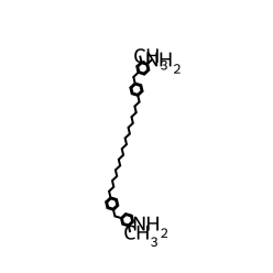 Cc1cc(Cc2ccc(CCCCCCCCCCCCCCCCCCc3ccc(Cc4ccc(N)c(C)c4)cc3)cc2)ccc1N